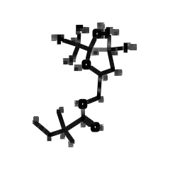 CCC(C)(C)C(=O)OCC1CC(F)(F)C(O)(C(F)(F)F)O1